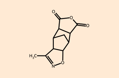 CC1=NOC2C3CC(C12)C1C(=O)OC(=O)C31